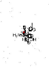 CON=CC(=O)NC1(c2csc(N)n2)S[C@H]2CC(=O)N2C(C(=O)O)=C1C(C)Sc1cc(=O)[nH]cn1